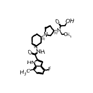 CCN(C(=O)CO)[C@H]1CCN([C@H]2CCC[C@@H](NC(=O)c3cc4c(F)ccc(C)c4[nH]3)C2)C1